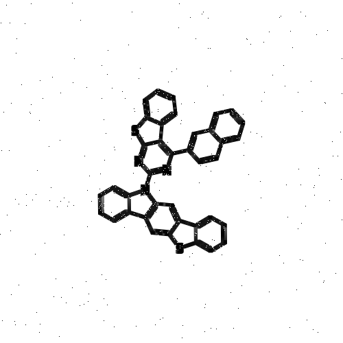 c1ccc2cc(-c3nc(-n4c5ccccc5c5cc6sc7ccccc7c6cc54)nc4sc5ccccc5c34)ccc2c1